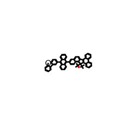 CC(C)(C)C1(C(C)(C)C)c2c(ccc3cc(-c4c5ccccc5c(-c5ccc6oc7ccccc7c6c5)c5ccccc45)ccc23)-c2c1c1ccccc1c1ccccc21